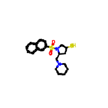 O=S(=O)(c1ccc2ccccc2c1)N1C[C@H](S)C[C@H]1CN1CCCCC1